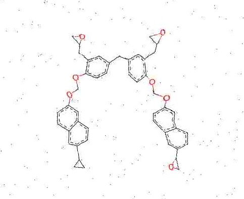 c1cc(OCOc2ccc3cc(C4CC4)ccc3c2)c(CC2CO2)cc1Cc1ccc(OCOc2ccc3cc(C4CO4)ccc3c2)c(CC2CO2)c1